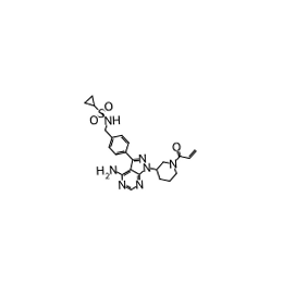 C=CC(=O)N1CCCC(n2nc(-c3ccc(CNS(=O)(=O)C4CC4)cc3)c3c(N)ncnc32)C1